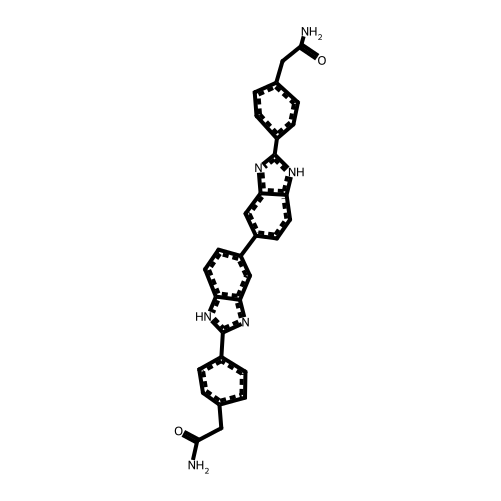 NC(=O)Cc1ccc(-c2nc3cc(-c4ccc5[nH]c(-c6ccc(CC(N)=O)cc6)nc5c4)ccc3[nH]2)cc1